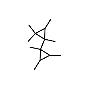 CC1C(C)C1(C)C1(C)C(C)C1(C)C